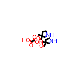 C1CC2(CN1)COC2.C1CC2(CN1)COC2.O=C(O)C(=O)O